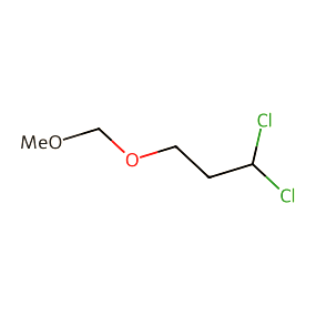 COCOCCC(Cl)Cl